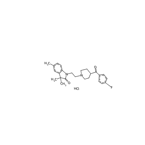 Cc1ccc2c(c1)C(C)(C)C(=O)N2CCN1CCC(C(=O)c2ccc(F)cc2)CC1.Cl